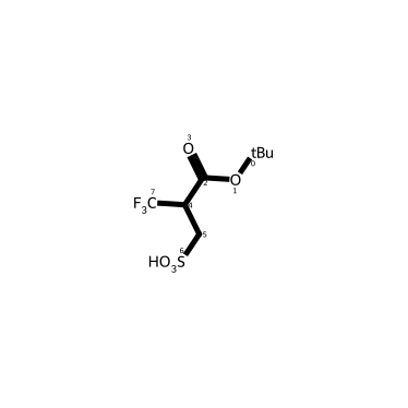 CC(C)(C)OC(=O)C(CS(=O)(=O)O)C(F)(F)F